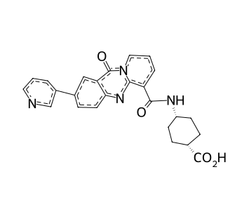 O=C(N[C@H]1CC[C@@H](C(=O)O)CC1)c1cccn2c(=O)c3cc(-c4cccnc4)ccc3nc12